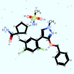 Cn1cc(-c2cc(C[C@]3(C(N)=O)CC[C@H](NS(C)(=O)=O)C3)c(F)cc2F)c(OCc2ccccc2)n1